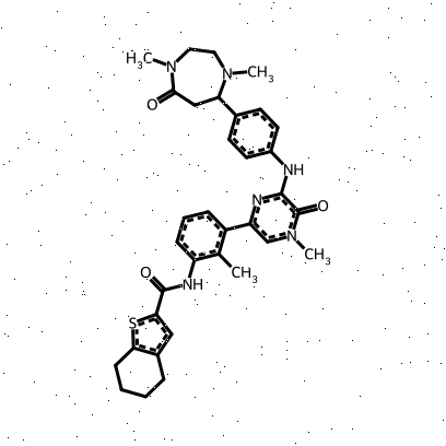 Cc1c(NC(=O)c2cc3c(s2)CCCC3)cccc1-c1cn(C)c(=O)c(Nc2ccc(C3CC(=O)N(C)CCN3C)cc2)n1